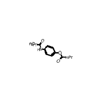 CCCC(=O)Nc1ccc(OC(=O)CCC)cc1